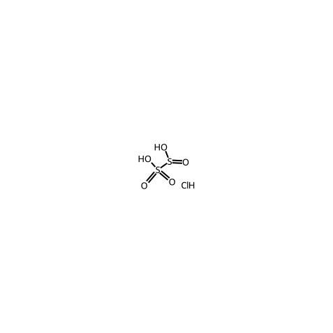 Cl.O=S(O)S(=O)(=O)O